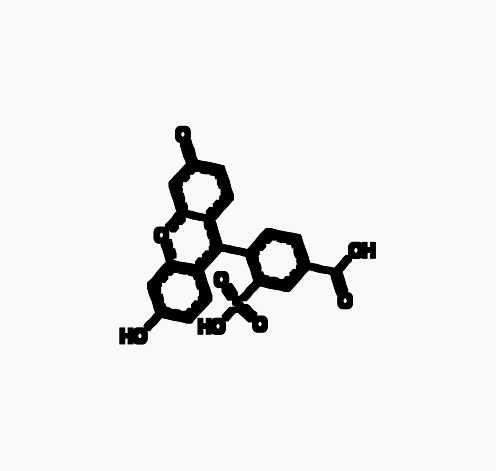 O=C(O)c1ccc(-c2c3ccc(=O)cc-3oc3cc(O)ccc23)c(S(=O)(=O)O)c1